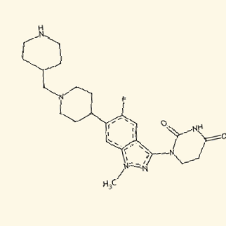 Cn1nc(N2CCC(=O)NC2=O)c2cc(F)c(C3CCN(CC4CCNCC4)CC3)cc21